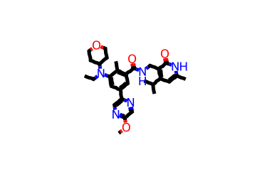 CCN(c1cc(-c2cnc(OC)cn2)cc(C(=O)NCc2c(C(C)C)cc(C)[nH]c2=O)c1C)C1CCOCC1